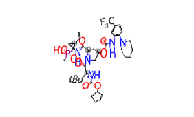 C=C[C@@H]1C[C@]1(NC(=O)[C@@H]1C[C@@H](OC(=O)Nc2cc(C(F)(F)F)ccc2N2CCCCC2)CN1C(=O)[C@@H](NC(=O)OC1CCCC1)C(C)(C)C)P(C)(=O)O